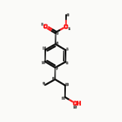 COC(=O)c1ccc(C(C)CCO)cc1